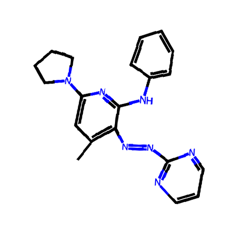 Cc1cc(N2CCCC2)nc(Nc2ccccc2)c1N=Nc1ncccn1